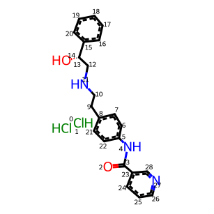 Cl.Cl.O=C(Nc1ccc(CCNC[C@H](O)c2ccccc2)cc1)c1cccnc1